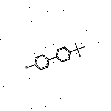 CCc1ccc(-c2ccc(C(F)(F)I)cc2)cc1